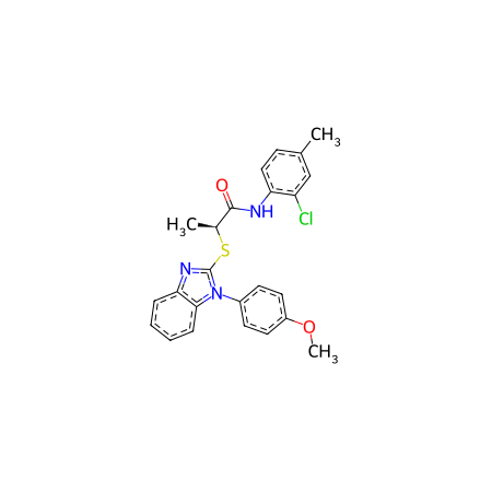 COc1ccc(-n2c(S[C@@H](C)C(=O)Nc3ccc(C)cc3Cl)nc3ccccc32)cc1